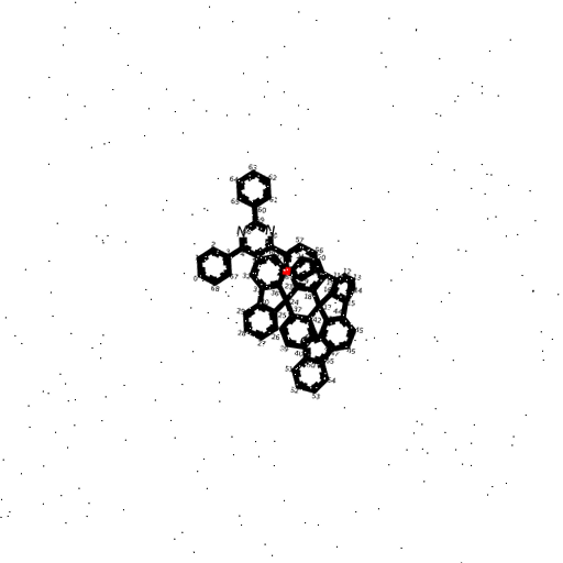 c1ccc(-c2cc(-c3ccc(-c4cccc5c4C4(c6ccccc6C6(c7ccccc7-c7ccccc76)c6ccccc64)c4c-5ccc5c4oc4ccccc45)cc3)nc(-c3ccccc3)n2)cc1